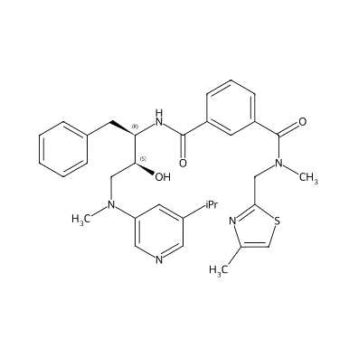 Cc1csc(CN(C)C(=O)c2cccc(C(=O)N[C@H](Cc3ccccc3)[C@@H](O)CN(C)c3cncc(C(C)C)c3)c2)n1